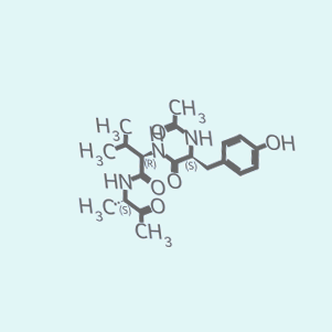 CC(=O)N[C@@H](Cc1ccc(O)cc1)C(=O)N[C@@H](C(=O)N[C@@H](C)C(C)=O)C(C)C